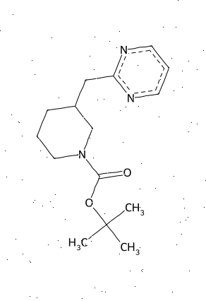 CC(C)(C)OC(=O)N1CCCC(Cc2ncccn2)C1